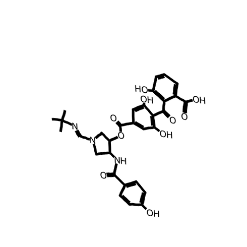 CC(C)(C)N=CN1CC(NC(=O)c2ccc(O)cc2)C(OC(=O)c2cc(O)c(C(=O)c3c(O)cccc3C(=O)O)c(O)c2)C1